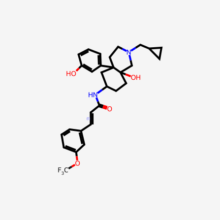 O=C(/C=C/c1cccc(OC(F)(F)F)c1)NC1CCC2(O)CN(CC3CC3)CCC2(c2cccc(O)c2)C1